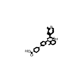 CC1=C([C@H](C/C(=N\O)c2ccnc(C)c2)c2ccc([C@H]3CC[C@@H](C(=O)O)CC3)cc2)CCC=C1